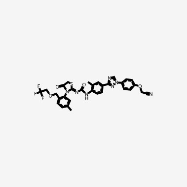 Cc1ccc(COCC(F)(F)F)c(N2C(=O)CSC2=NC(=O)Nc2ccc(-c3ncn(-c4ccc(OCC#N)cc4)n3)cc2C)c1